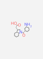 Nc1cccc(C(=O)n2cc(CC(=O)O)c3ccccc32)c1